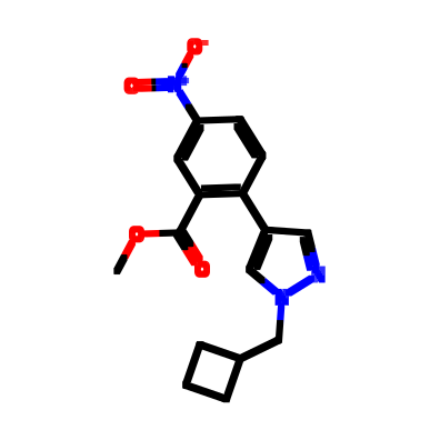 COC(=O)c1cc([N+](=O)[O-])ccc1-c1cnn(CC2CCC2)c1